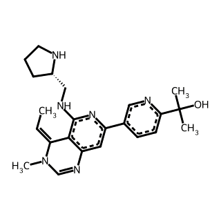 C/C=C1\c2c(cc(-c3ccc(C(C)(C)O)nc3)nc2NC[C@@H]2CCCN2)N=CN1C